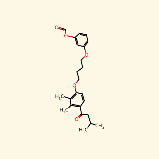 Cc1c(OCCCCOc2cccc(OC=O)c2)ccc(C(=O)CC(C)C)c1C